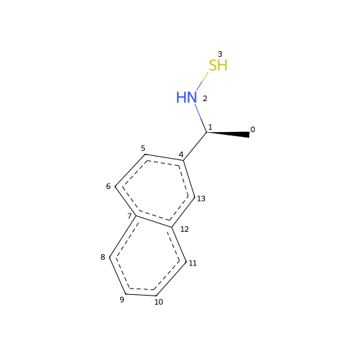 C[C@H](NS)c1ccc2ccccc2c1